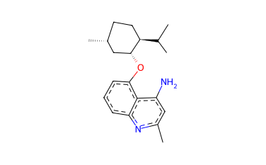 Cc1cc(N)c2c(O[C@@H]3C[C@H](C)CC[C@H]3C(C)C)cccc2n1